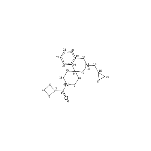 O=C(C1CCC1)N1CCC2(CC1)CN(CC1CC1)Cc1ccccc12